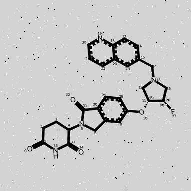 O=C1CCC(N2Cc3cc(O[C@@H]4CN(Cc5ccc6ncccc6c5)C[C@H]4F)ccc3C2=O)C(=O)N1